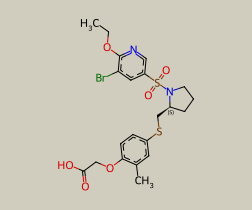 CCOc1ncc(S(=O)(=O)N2CCC[C@H]2CSc2ccc(OCC(=O)O)c(C)c2)cc1Br